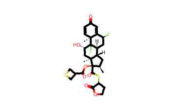 C[C@@H]1C[C@H]2[C@@H]3C[C@H](F)C4=CC(=O)C=C[C@]4(C)[C@@]3(F)[C@@H](O)C[C@]2(C)[C@@]1(OC(=O)C1CSC1)C(=O)S[C@H]1CCOC1=O